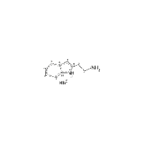 Br.NCCc1cc2ccccc2[nH]1